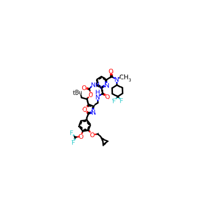 CN(C(=O)c1cccc(C(=O)NCc2nc(-c3ccc(OC(F)F)c(OCC4CC4)c3)oc2C(CC(C)(C)C)OC(N)=O)n1)C1CCC(F)(F)CC1